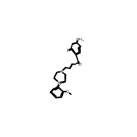 COc1ccccc1N1CCN(CCCC(=O)c2ccc(N)cc2F)CC1